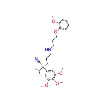 COc1ccccc1OCCCNCCCC(C#N)(c1cc(OC)c(OC)c(OC)c1)C(C)C